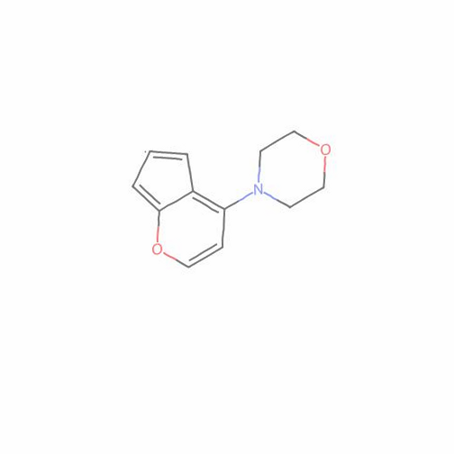 [c]1cc2occc(N3CCOCC3)c-2c1